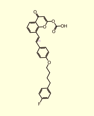 O=C(O)Oc1cc(=O)c2cccc(/C=C/c3ccc(OCCCCc4ccc(F)cc4)cc3)c2o1